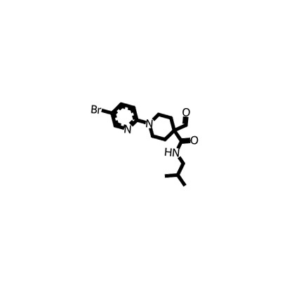 CC(C)CNC(=O)C1(C=O)CCN(c2ccc(Br)cn2)CC1